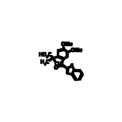 COc1cc(C(=O)c2cc3ccccc3s2)c(C(C)(C)C(=O)O)cc1OC